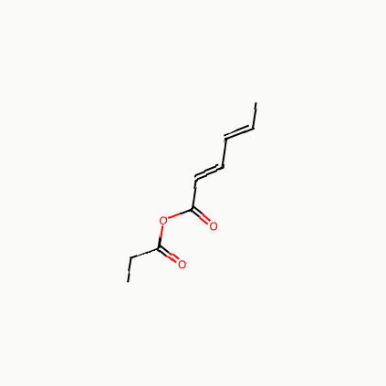 C/C=C/C=C/C(=O)OC(=O)CC